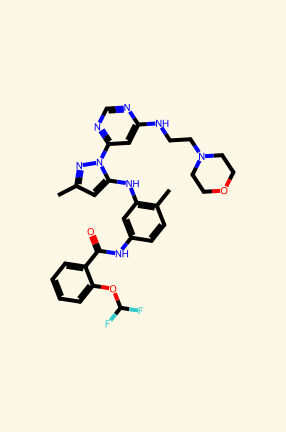 Cc1cc(Nc2cc(NC(=O)c3ccccc3OC(F)F)ccc2C)n(-c2cc(NCCN3CCOCC3)ncn2)n1